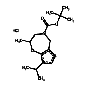 CC1CN(C(=O)OC(C)(C)C)Cc2scc(C(C)C)c2O1.Cl